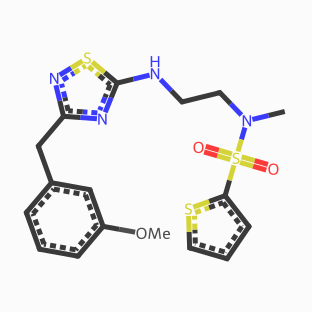 COc1cccc(Cc2nsc(NCCN(C)S(=O)(=O)c3cccs3)n2)c1